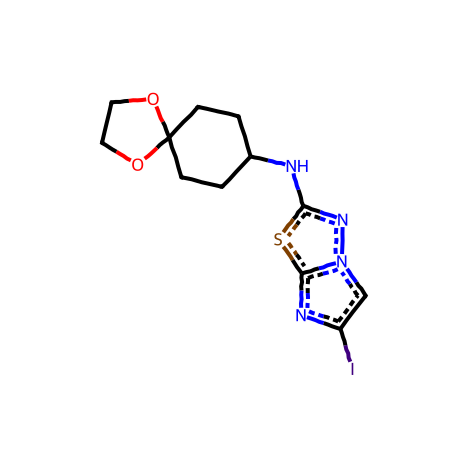 Ic1cn2nc(NC3CCC4(CC3)OCCO4)sc2n1